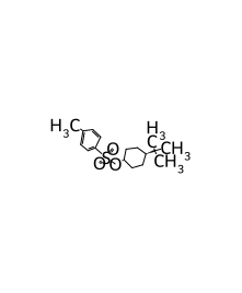 Cc1ccc(S(=O)(=O)O[C@H]2CC[C@H](C(C)(C)C)CC2)cc1